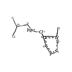 Cc1ccccc1OPCC(C)C